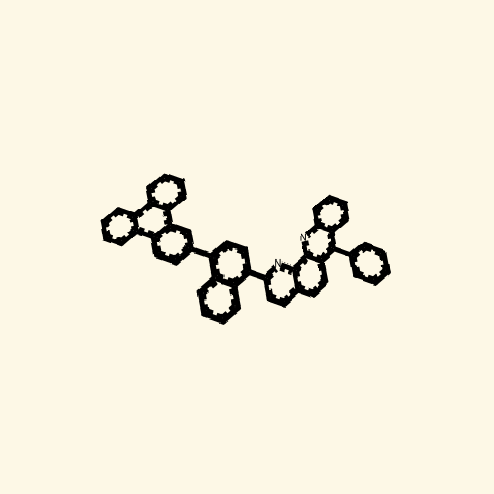 c1ccc(-c2c3ccccc3nc3c2ccc2ccc(-c4ccc(-c5ccc6c7ccccc7c7ccccc7c6c5)c5ccccc45)nc23)cc1